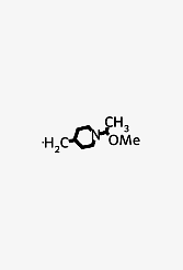 [CH2]C1CCN(C(C)OC)CC1